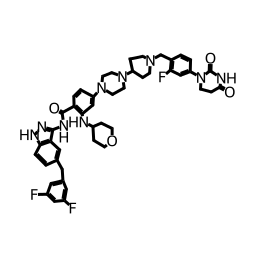 O=C1CCN(c2ccc(CN3CCC(N4CCN(c5ccc(C(=O)Nc6n[nH]c7ccc(Cc8cc(F)cc(F)c8)cc67)c(NC6CCOCC6)c5)CC4)CC3)c(F)c2)C(=O)N1